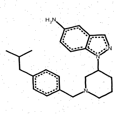 CC(C)Cc1ccc(CN2CCCC(n3ncc4cc(N)ccc43)C2)cc1